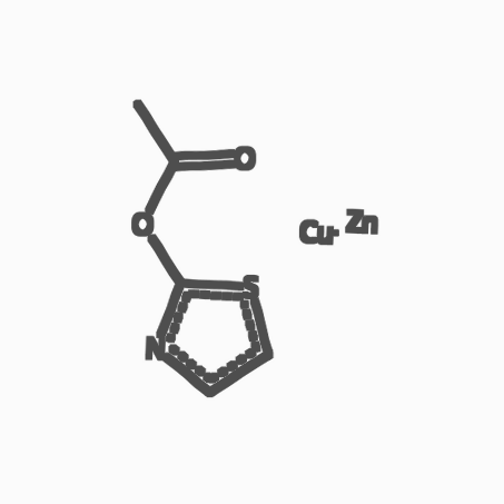 CC(=O)Oc1nccs1.[Cu].[Zn]